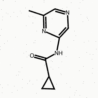 Cc1cncc(NC(=O)C2CC2)n1